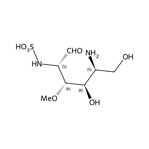 CO[C@@H]([C@H](O)[C@@H](N)CO)[C@@H](C=O)NS(=O)(=O)O